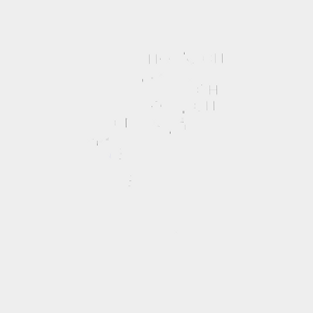 CCC(C)CC(C)CC(C)CC(C)/C=C(C)/C=C(\CC(C)C(=O)OC(C(=O)O)C(C(=O)O)C(O)C(=O)O)C(=O)O